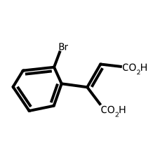 O=C(O)C=C(C(=O)O)c1ccccc1Br